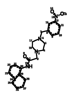 O=C(CN1CCN(Cc2cccc([N+](=O)[O-])c2)CC1)Nc1cccc2ccccc12